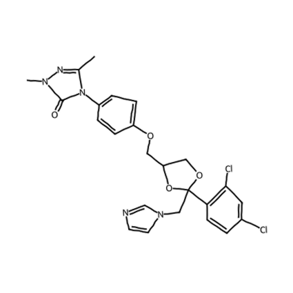 Cc1nn(C)c(=O)n1-c1ccc(OCC2COC(Cn3ccnc3)(c3ccc(Cl)cc3Cl)O2)cc1